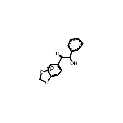 O=C(C1=CC=C2OCOC23OCOC13)C(O)c1ccccc1